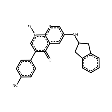 CCn1cc(-c2ccc(C#N)cc2)c(=O)c2cc(NC3Cc4ccccc4C3)cnc21